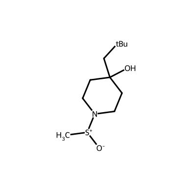 C[S+]([O-])N1CCC(O)(CC(C)(C)C)CC1